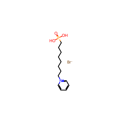 O=P(O)(O)CCCCCCCC[n+]1ccccc1.[Br-]